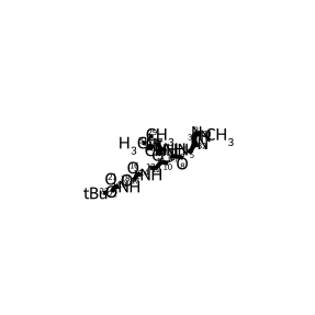 Cn1ncc(CNC(=O)[C@H](CCCCNC(=O)CONC(=O)OC(C)(C)C)NC(=O)C[N+](C)(C)C)n1